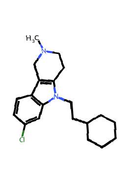 CN1CCc2c(c3ccc(Cl)cc3n2CCC2CCCCC2)C1